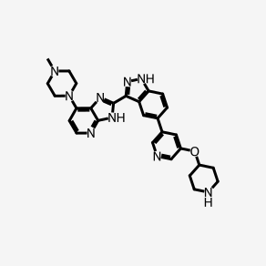 CN1CCN(c2ccnc3[nH]c(-c4n[nH]c5ccc(-c6cncc(OC7CCNCC7)c6)cc45)nc23)CC1